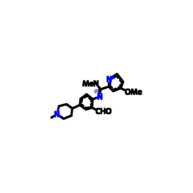 CN/C(=N\c1ccc(C2CCN(C)CC2)cc1C=O)c1cc(OC)ccn1